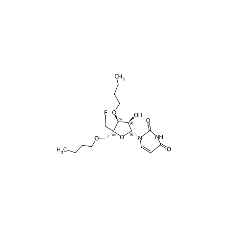 CCCCOC[C@@]1(CF)O[C@@H](n2ccc(=O)[nH]c2=O)[C@H](O)[C@@H]1OCCCC